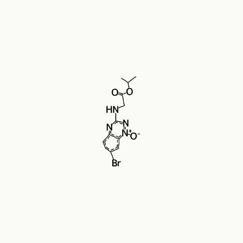 CC(C)OC(=O)CNc1nc2ccc(Br)cc2[n+]([O-])n1